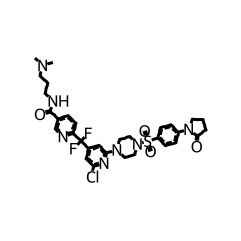 CN(C)CCCNC(=O)c1ccc(C(F)(F)c2cc(Cl)nc(N3CCN(S(=O)(=O)c4ccc(N5CCCC5=O)cc4)CC3)c2)nc1